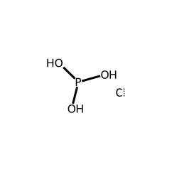 OP(O)O.[C]